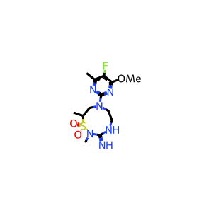 COc1nc(N2CCNC(=N)N(C)S(=O)(=O)C(C)C2)nc(C)c1F